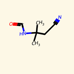 CC(C)(CC#N)N[C]=O